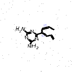 C=C/C=C(\C=C/C)c1nc(N)nc(N)n1